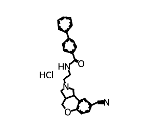 Cl.N#Cc1ccc2c(c1)C1CN(CCNC(=O)c3ccc(-c4ccccc4)cc3)CC1CO2